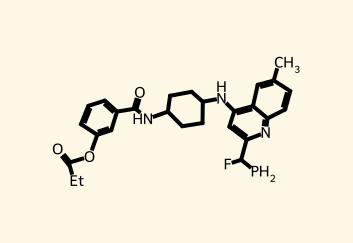 CCC(=O)Oc1cccc(C(=O)NC2CCC(Nc3cc(C(F)P)nc4ccc(C)cc34)CC2)c1